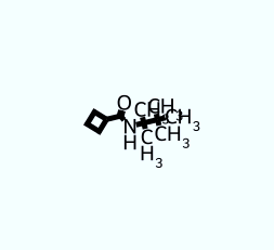 CC(C)(C)C(C)(C)NC(=O)C1CCC1